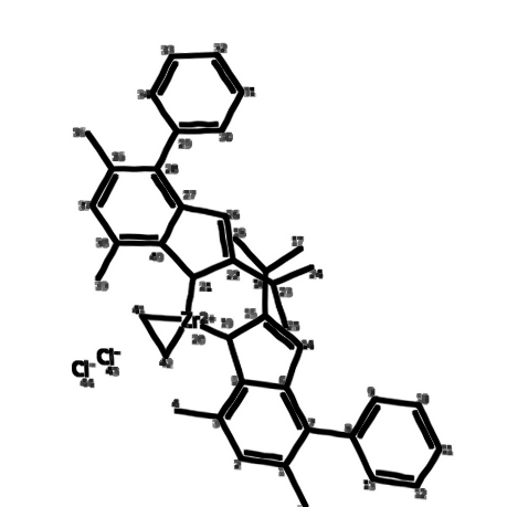 Cc1cc(C)c2c(c1-c1ccccc1)C=C(C(C)C)[CH]2[Zr+2]1([CH]2C(C(C)C)=Cc3c(-c4ccccc4)c(C)cc(C)c32)[CH2][CH2]1.[Cl-].[Cl-]